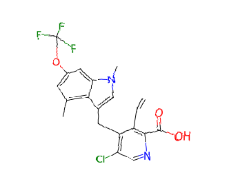 C=Cc1c(C(=O)O)ncc(Cl)c1Cc1cn(C)c2cc(OC(F)(F)F)cc(C)c12